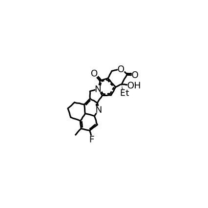 CC[C@@]1(O)C(=O)OCc2c1cc1n(c2=O)CC2=C3CCCC4=C(C)C(F)=CC(N=C21)C43